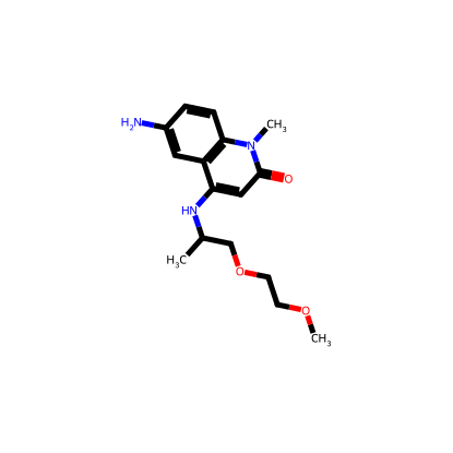 COCCOCC(C)Nc1cc(=O)n(C)c2ccc(N)cc12